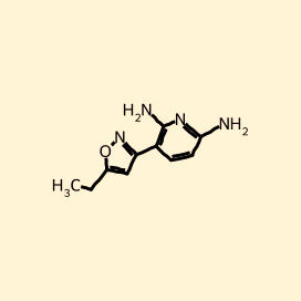 CCc1cc(-c2ccc(N)nc2N)no1